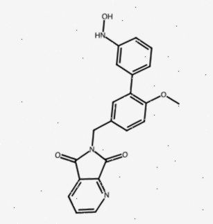 COc1ccc(CN2C(=O)c3cccnc3C2=O)cc1-c1cccc(NO)c1